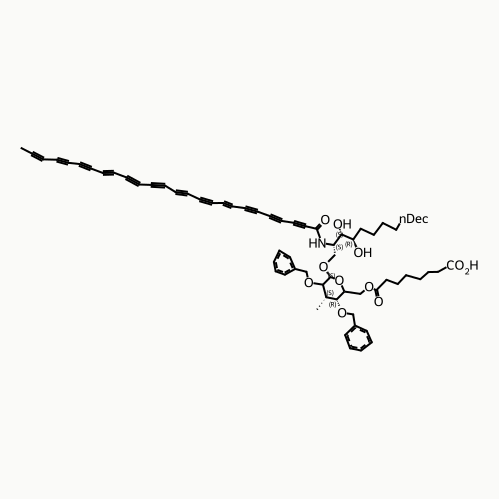 CC#CC#CC#CC#CC#CC#CC#CC#CC#CC#CC#CC#CC(=O)N[C@@H](CO[C@H]1OC(COC(=O)CCCCCCC(=O)O)[C@H](OCc2ccccc2)[C@H](C)C1OCc1ccccc1)[C@H](O)[C@H](O)CCCCCCCCCCCCCC